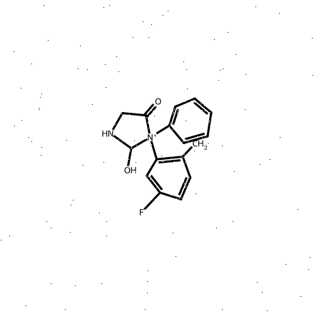 [CH2]c1ccc(F)cc1[N+]1(c2ccccc2)C(=O)CNC1O